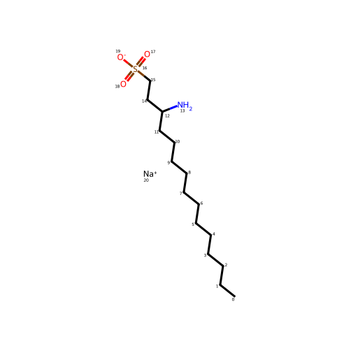 CCCCCCCCCCCCC(N)CCS(=O)(=O)[O-].[Na+]